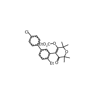 CCOC(=O)OC1=C(c2cc(-c3ccc(Cl)cc3)ccc2CC)C(=O)C(C)(C)OC1(C)C